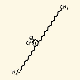 CCCCCCCCCCCCCCC(CCCCCCCCCCCC)C[Si](Cl)(Cl)Cl